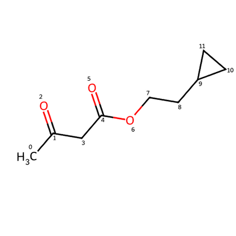 CC(=O)CC(=O)OCCC1CC1